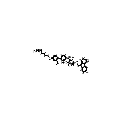 CCc1cc(OCCCCN=[N+]=[N-])ccc1-c1ccc(C[C@@H](NC(=O)OCC2c3ccccc3-c3ccccc32)C(=O)O)cc1